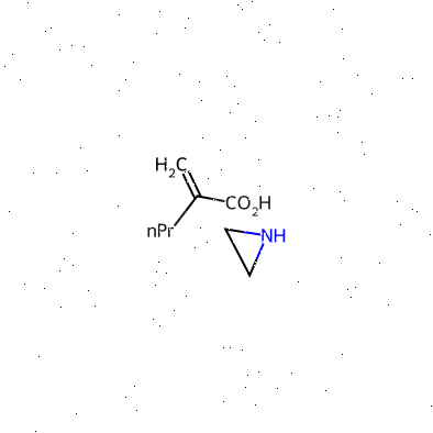 C1CN1.C=C(CCC)C(=O)O